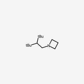 CC(C)(C)C(CN1CCC1)C(C)(C)C